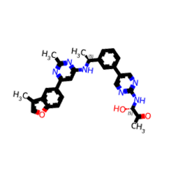 CC(=O)[C@H](O)Nc1ncc(-c2cccc([C@H](C)Nc3cc(-c4ccc5occ(C)c5c4)nc(C)n3)c2)cn1